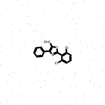 CCc1cccc(CC)c1-c1nc(-c2ccccc2)c(C=O)o1